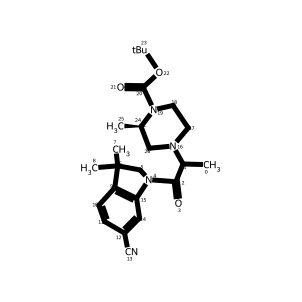 CC(C(=O)N1CC(C)(C)c2ccc(C#N)cc21)N1CCN(C(=O)OC(C)(C)C)[C@H](C)C1